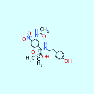 CC(=O)Nc1cc2c(cc1[N+](=O)[O-])OC(C)(C)[C@H](O)[C@H]2NCCc1ccc(O)cc1